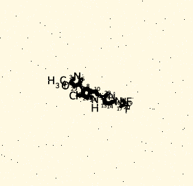 COc1cncc(-c2cc3cc(-c4ccc(N5CC(F)(F)C5)nc4)[nH]c3cc2Cl)c1